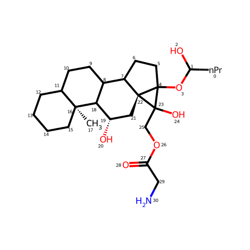 CCCC(O)OC12CCC3C4CCC5CCCC[C@]5(C)C4[C@@H](O)C[C@@]31C2(O)COC(=O)CN